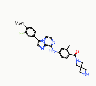 COc1ccc(-c2cnc3c(Nc4ccc(C(=O)N5CC6(CNC6)C5)c(C)c4)nccn23)cc1F